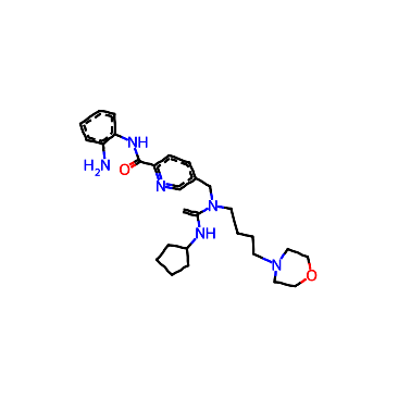 C=C(NC1CCCC1)N(CCCCN1CCOCC1)Cc1ccc(C(=O)Nc2ccccc2N)nc1